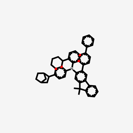 CC1(C)c2ccccc2-c2cc(-c3ccc(-c4ccccc4)cc3)c(N(c3ccc(C4CC5CCC4C5)cc3)c3ccccc3C3CCCCC3)cc21